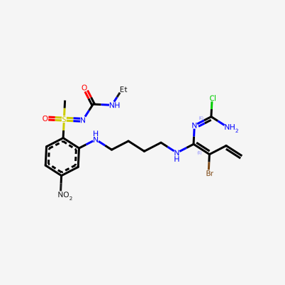 C=C/C(Br)=C(\N=C(/N)Cl)NCCCCNc1cc([N+](=O)[O-])ccc1S(C)(=O)=NC(=O)NCC